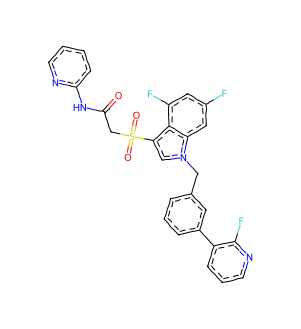 O=C(CS(=O)(=O)c1cn(Cc2cccc(-c3cccnc3F)c2)c2cc(F)cc(F)c12)Nc1ccccn1